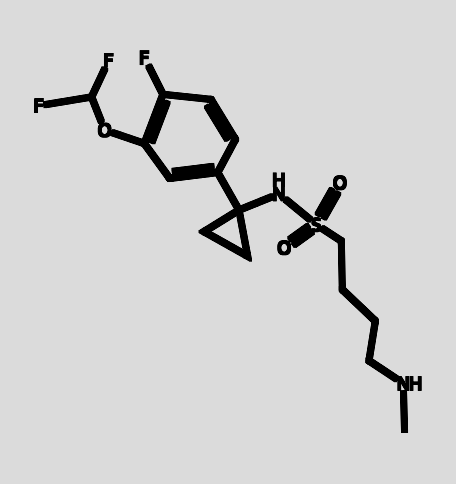 CNCCCCS(=O)(=O)NC1(c2ccc(F)c(OC(F)F)c2)CC1